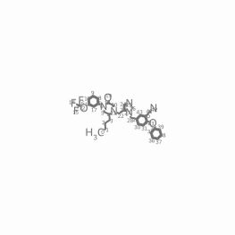 CCCCC1CN(c2cccc(OC(F)(F)F)c2)C(=O)CN1Cc1cncn1Cc1ccc(Oc2ccccc2)c(C#N)c1